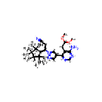 BC1(B)C(=C(CC#N)n2cc(-c3ncnc(N)c3CC(OC)OC)cn2)C(B)(B)C(B)(B)C1(B)B